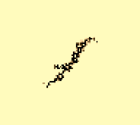 CCCCOc1ccc(C#Cc2cc(F)c(CCc3ccc4cc(-c5ccc(-c6ccc(CCC)cc6F)c(F)c5)ccc4c3)cc2C)cc1